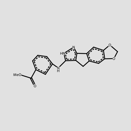 COC(=O)c1cccc(Nc2[nH]nc3c2Cc2cc4c(cc2-3)OCO4)c1